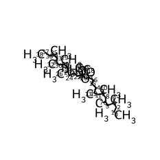 CCCC(C)CC(C)CC(C)CC(C)CCCC(OC)OC(CCCC(C)CC(C)CC(C)CC(C)CCC)OC